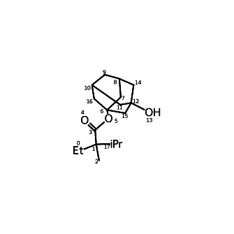 CCC(C)(C(=O)OC12CC3CC(CC(O)(C3)C1)C2)C(C)C